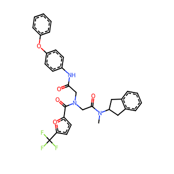 CN(C(=O)CN(CC(=O)Nc1ccc(Oc2ccccc2)cc1)C(=O)c1ccc(C(F)(F)F)o1)C1Cc2ccccc2C1